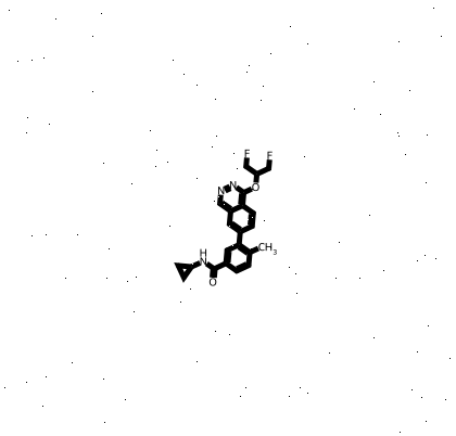 Cc1ccc(C(=O)NC2CC2)cc1-c1ccc2c(OC(CF)CF)nncc2c1